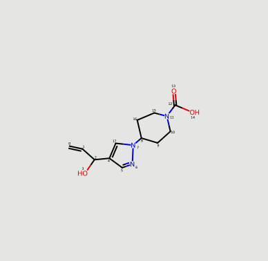 C=CC(O)c1cnn(C2CCN(C(=O)O)CC2)c1